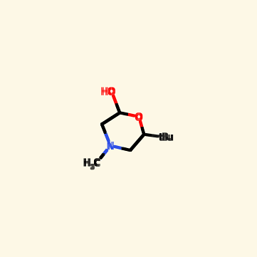 CN1CC(O)OC(C(C)(C)C)C1